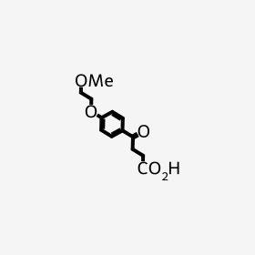 COCCOc1ccc(C(=O)CCC(=O)O)cc1